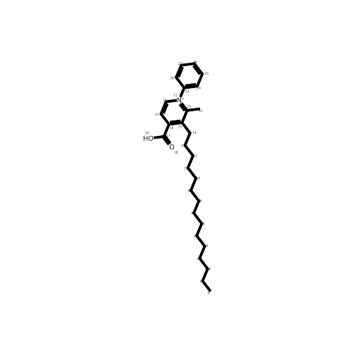 CCCCCCCCCCCCCCCc1c(C(=O)O)cc[n+](-c2ccccc2)c1C